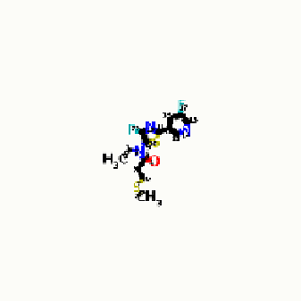 CCN(C(=O)CCSC)c1sc(-c2cncc(F)c2)nc1F